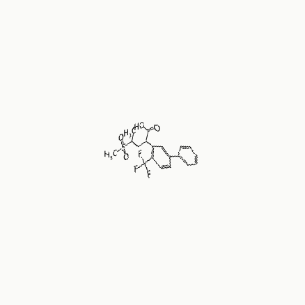 CC(CC(C(=O)O)c1cc(-c2ccccc2)ccc1C(F)(F)F)S(C)(=O)=O